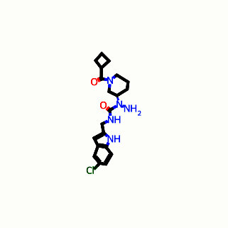 NN(C(=O)NCc1cc2cc(Cl)ccc2[nH]1)[C@@H]1CCCN(C(=O)C2CCC2)C1